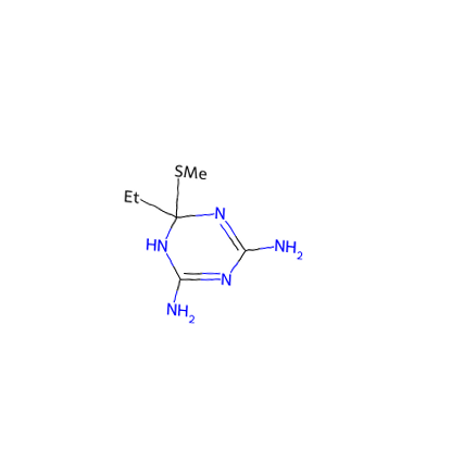 CCC1(SC)N=C(N)N=C(N)N1